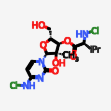 CC(C)[C@H](NCl)C(=O)O[C@@H]1[C@@H](CO)O[C@@H](n2ccc(NCl)nc2=O)[C@]1(C)O